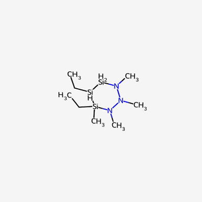 CC[SiH]1[SiH2]N(C)N(C)N(C)[Si]1(C)CC